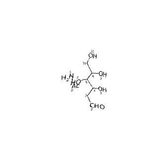 CC(N)=O.O=CCC(O)C(O)C(O)CO